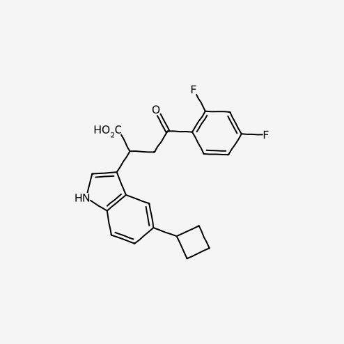 O=C(CC(C(=O)O)c1c[nH]c2ccc(C3CCC3)cc12)c1ccc(F)cc1F